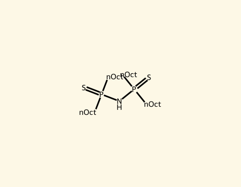 CCCCCCCCP(=S)(CCCCCCCC)NP(=S)(CCCCCCCC)CCCCCCCC